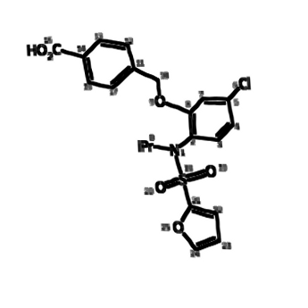 CC(C)N(c1ccc(Cl)cc1OCc1ccc(C(=O)O)cc1)S(=O)(=O)c1ccco1